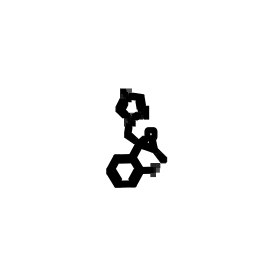 C[C@@H]1O[C@@]1(Cn1cncn1)c1ccccc1F